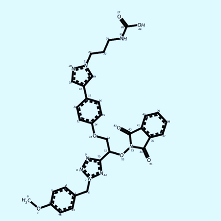 COc1ccc(Cn2nnc(C(COc3ccc(-c4cnn(CCCNC(=O)O)c4)cc3)ON3C(=O)c4ccccc4C3=O)n2)cc1